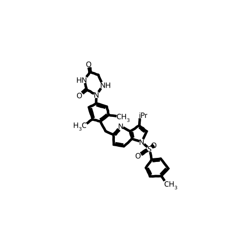 Cc1ccc(S(=O)(=O)n2cc(C(C)C)c3nc(Cc4c(C)cc(N5NCC(=O)NC5=O)cc4C)ccc32)cc1